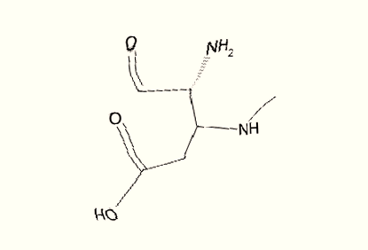 CNC(CC(=O)O)[C@@H](N)C=O